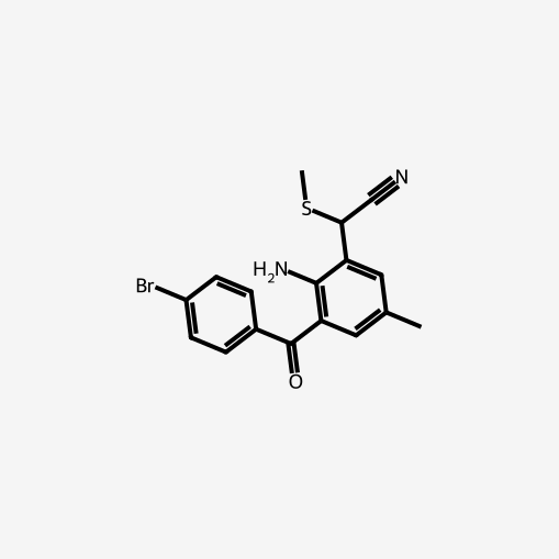 CSC(C#N)c1cc(C)cc(C(=O)c2ccc(Br)cc2)c1N